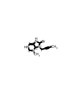 CC#CCN1C(Br)NC2=CNCN(C)C21